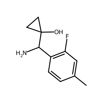 Cc1ccc(C(N)C2(O)CC2)c(F)c1